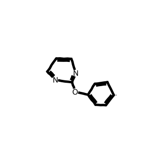 [c]1ccc(Oc2ncccn2)cc1